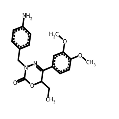 CCC1OC(=O)N(Cc2ccc(N)cc2)N=C1c1ccc(OC)c(OC)c1